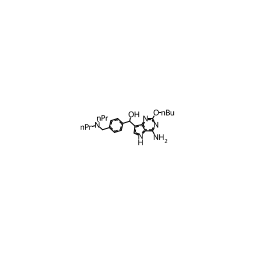 CCCCOc1nc(N)c2[nH]cc(C(O)c3ccc(CN(CCC)CCC)cc3)c2n1